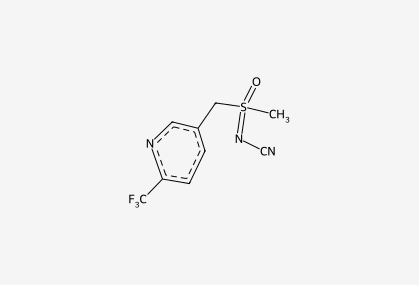 CS(=O)(Cc1ccc(C(F)(F)F)nc1)=NC#N